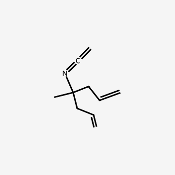 C=C=NC(C)(CC=C)CC=C